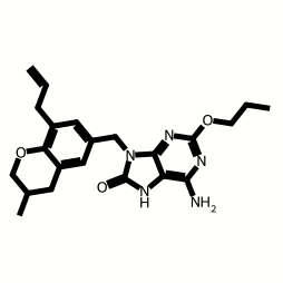 C=CCc1cc(Cn2c(=O)[nH]c3c(N)nc(OCCC)nc32)cc2c1OCC(C)C2